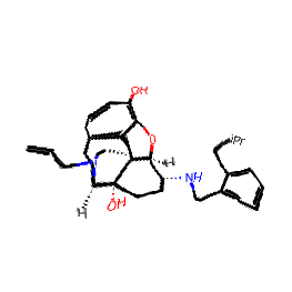 C=CCN1CC[C@]23c4c5ccc(O)c4O[C@H]2[C@H](NCc2ccccc2CC(C)C)CC[C@@]3(O)[C@H]1C5